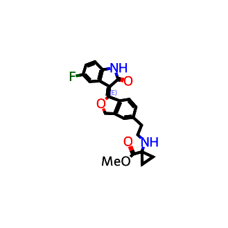 COC(=O)C1(NCCc2ccc3c(c2)CO/C3=C2/C(=O)Nc3ccc(F)cc32)CC1